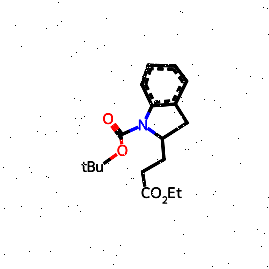 CCOC(=O)CCC1Cc2ccccc2N1C(=O)OC(C)(C)C